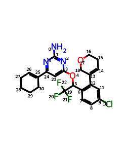 Nc1nc(OC(c2ccc(Cl)cc2C2=CCCOC2)C(F)(F)F)cc(C2=CCCCC2)n1